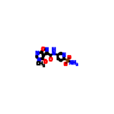 Cn1cnc2onc(C(=O)Nc3ccc(S(N)(=O)=O)nc3)c2c1=O